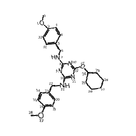 COc1ccc(CNc2nc(NCc3ccc(OC)cc3)nc(OC3CCCCC3)n2)cc1